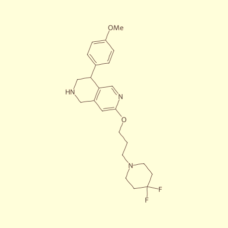 COc1ccc(C2CNCc3cc(OCCCN4CCC(F)(F)CC4)ncc32)cc1